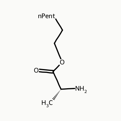 CCCCCCCOC(=O)[C@@H](C)N